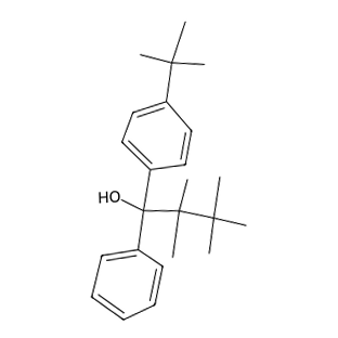 CC(C)(C)c1ccc(C(O)(c2ccccc2)C(C)(C)C(C)(C)C)cc1